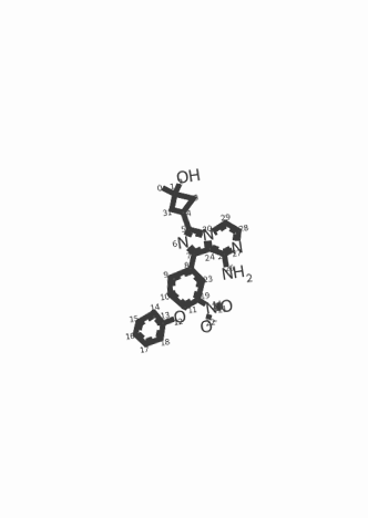 CC1(O)CC(c2nc(-c3ccc(Oc4ccccc4)c([N+](=O)[O-])c3)c3c(N)nccn23)C1